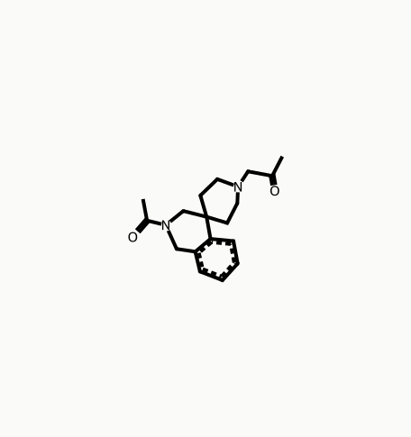 CC(=O)CN1CCC2(CC1)CN(C(C)=O)Cc1ccccc12